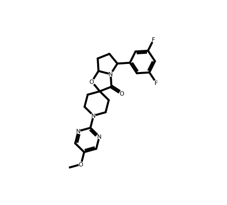 COc1cnc(N2CCC3(CC2)OC2CCC(c4cc(F)cc(F)c4)N2C3=O)nc1